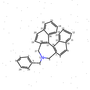 c1ccc(CN2Cc3ccc4ccccc4c3-c3c(ccc4ccccc34)C2)cc1